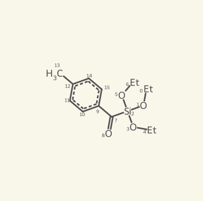 CCO[Si](OCC)(OCC)C(=O)c1ccc(C)cc1